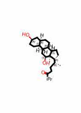 CC(C)C(=O)CC[C@@H](C)[C@H]1CC[C@H]2[C@@H]3CC[C@@H]4C[C@H](O)CC[C@@H]4[C@H]3C[C@H](O)[C@]12C